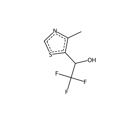 Cc1ncsc1C(O)C(F)(F)F